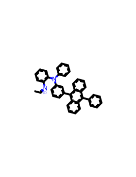 C/C=N\c1ccccc1N(c1ccccc1)c1cccc(-c2c3ccccc3c(-c3ccccc3)c3ccccc23)c1